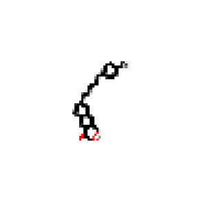 CCc1ccc(CCCC=Cc2ccc3cc4c(cc3c2)COCC4=O)cc1